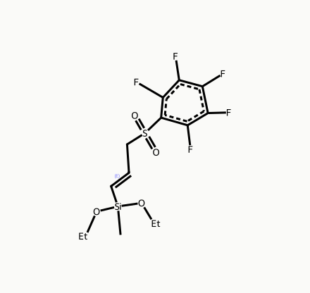 CCO[Si](C)(/C=C/CS(=O)(=O)c1c(F)c(F)c(F)c(F)c1F)OCC